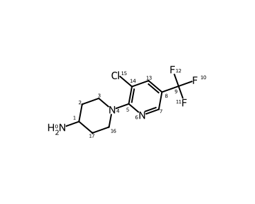 NC1CCN(c2ncc(C(F)(F)F)cc2Cl)CC1